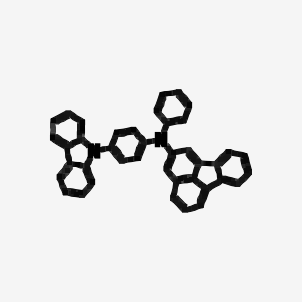 c1ccc(N(c2ccc(-n3c4ccccc4c4ccccc43)cc2)c2cc3c4c(cccc4c2)-c2ccccc2-3)cc1